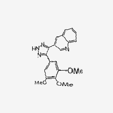 COc1cc(-c2n[nH]nc2-c2cnc3ccccc3c2)cc(OC)c1OC